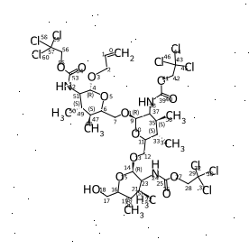 C=CCO[C@@H]1OC(CO[C@@H]2OC(CO[C@@H]3OC(CO)[C@@H](C)[C@H](C)C3NC(=O)OCC(Cl)(Cl)Cl)[C@@H](C)[C@H](C)C2NC(=O)OCC(Cl)(Cl)Cl)[C@@H](C)[C@H](C)C1NC(=O)OCC(Cl)(Cl)Cl